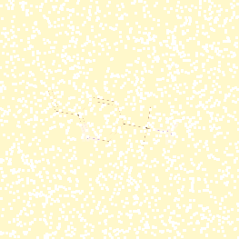 C=Cc1ccc(C(C)(C)NCC)cn1